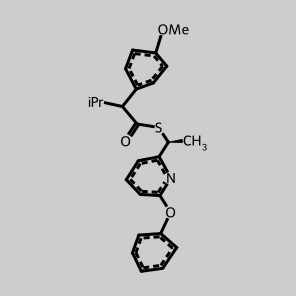 COc1ccc(C(C(=O)S[C@@H](C)c2cccc(Oc3ccccc3)n2)C(C)C)cc1